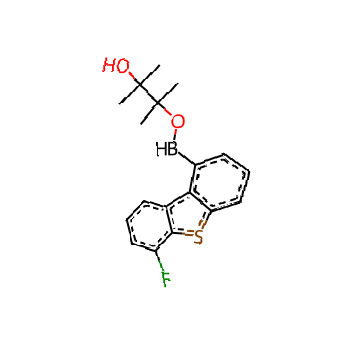 CC(C)(O)C(C)(C)OBc1cccc2sc3c(F)cccc3c12